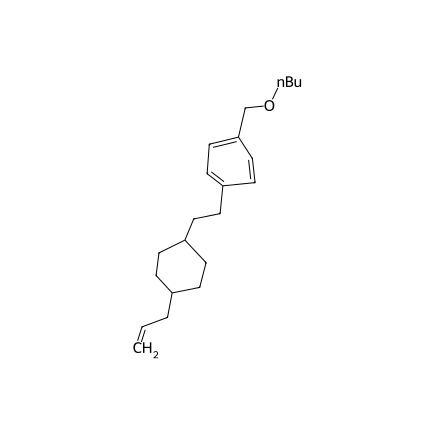 C=CCC1CCC(CCc2ccc(COCCCC)cc2)CC1